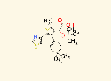 Cc1sc(-c2cscn2)c(C2=CCC(C)(C)CC2)c1C(OC(C)(C)C)C(=O)O